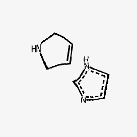 C1=CCNC1.c1c[nH]cn1